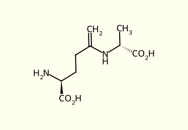 C=C(CC[C@H](N)C(=O)O)N[C@H](C)C(=O)O